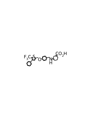 O=C(O)[C@@H]1CCC[C@H](NCc2ccc(OCc3cc(-c4ccccc4)c(C(F)(F)F)s3)cc2)C1